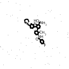 Cc1c(NC(=O)c2ccc(F)cc2)cccc1-c1ccc(C(N)=O)c2[nH]c3cc(CN4CCCCC4)ccc3c12